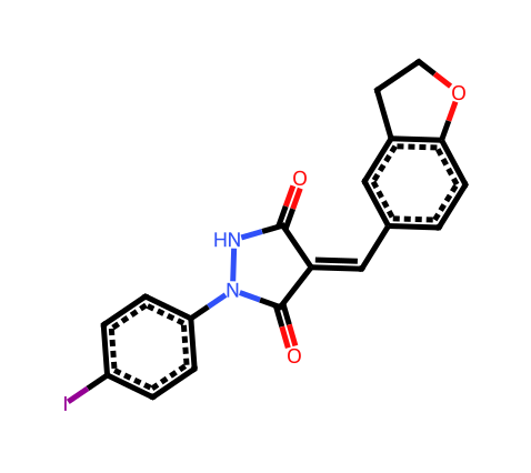 O=C1NN(c2ccc(I)cc2)C(=O)C1=Cc1ccc2c(c1)CCO2